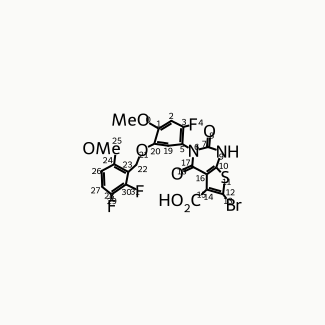 COc1cc(F)c(-n2c(=O)[nH]c3sc(Br)c(C(=O)O)c3c2=O)cc1OCc1c(OC)ccc(F)c1F